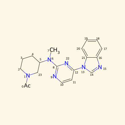 CC(=O)N1CCCC(N(C)c2nccc(-n3cnc4ccccc43)n2)C1